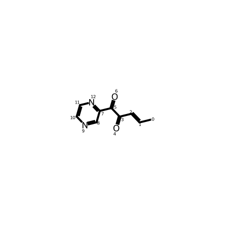 C/C=C/C(=O)C(=O)c1cnccn1